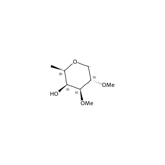 CO[C@H]1[C@@H](O)[C@@H](C)O[CH][C@@H]1OC